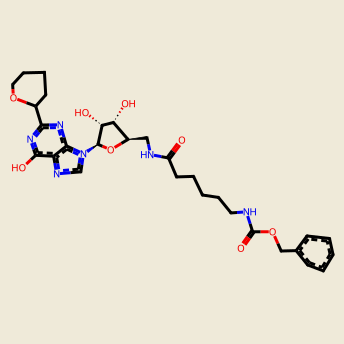 O=C(CCCCCNC(=O)OCc1ccccc1)NC[C@H]1O[C@@H](n2cnc3c(O)nc(C4CCCCO4)nc32)[C@H](O)[C@@H]1O